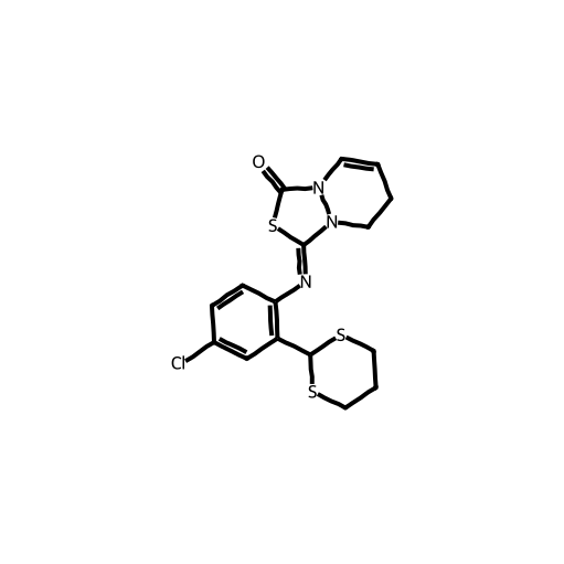 O=c1sc(=Nc2ccc(Cl)cc2C2SCCCS2)n2n1C=CCC2